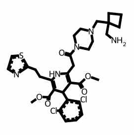 COC(=O)C1=C(CCc2nccs2)NC(CC(=O)N2CCN(CC3(CN)CCC3)CC2)=C(C(=O)OC)C1c1c(Cl)cccc1Cl